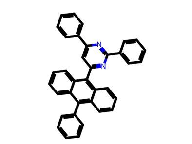 c1ccc(-c2cc(-c3c4ccccc4c(-c4ccccc4)c4ccccc34)nc(-c3ccccc3)n2)cc1